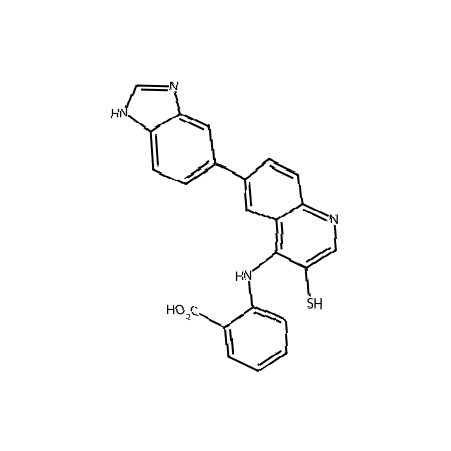 O=C(O)c1ccccc1Nc1c(S)cnc2ccc(-c3ccc4[nH]cnc4c3)cc12